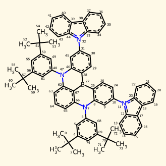 CC(C)(C)c1cc(N2c3cc(-n4c5ccccc5c5ccccc54)ccc3B3c4ccc(-n5c6ccccc6c6ccccc65)cc4N(c4cc(C(C)(C)C)cc(C(C)(C)C)c4)c4cccc2c43)cc(C(C)(C)C)c1